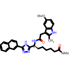 CNC(=O)CCCCC[C@H](NC(=O)Cc1c(C)[nH]c2ccc(OC)cc12)c1nnc(-c2ccc3ccccc3c2)[nH]1